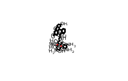 NC1C[C@H](N)C(OC2OC(CO)C(O)C(N)C2O)C(O)C1OC1OC(CNC(=O)c2ccccc2-c2c3ccc(=O)cc-3oc3ccc(O)cc23)C(O)C(O)C1O